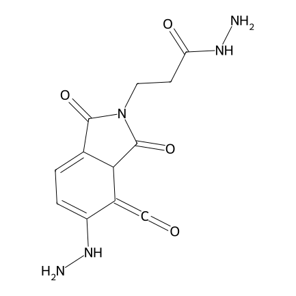 NNC(=O)CCN1C(=O)C2=CC=C(NN)C(=C=O)C2C1=O